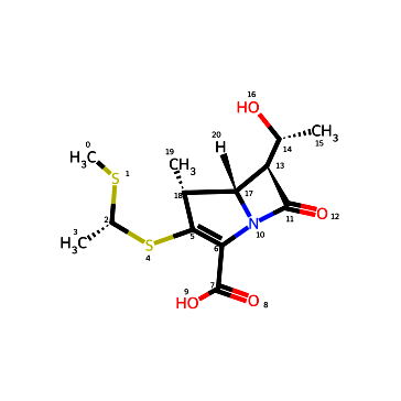 CS[C@@H](C)SC1=C(C(=O)O)N2C(=O)[C@H]([C@@H](C)O)[C@H]2[C@H]1C